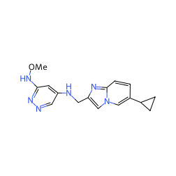 CONc1cc(NCc2cn3cc(C4CC4)ccc3n2)cnn1